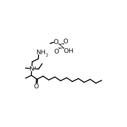 CCCCCCCCCCCC(=O)C(C)[N+](C)(CC)CCN.COS(=O)(=O)O